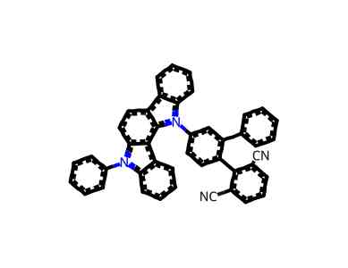 N#Cc1cccc(C#N)c1-c1ccc(-n2c3ccccc3c3ccc4c(c5ccccc5n4-c4ccccc4)c32)cc1-c1ccccc1